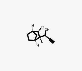 C#CC(O)[C@]1(C)[C@H]2CC[C@H](C2)[C@H]1CC